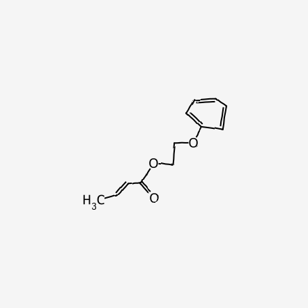 CC=CC(=O)OCCOc1ccccc1